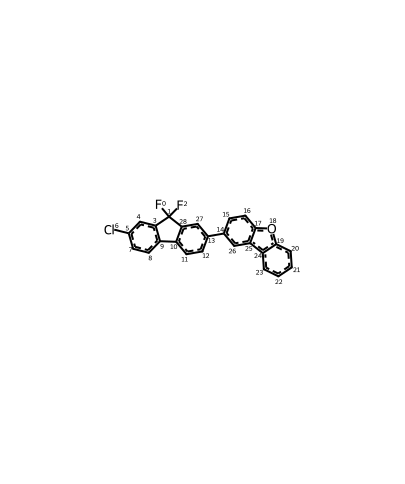 FC1(F)c2cc(Cl)ccc2-c2ccc(-c3ccc4oc5ccccc5c4c3)cc21